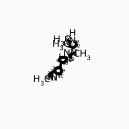 CN(c1nc2ccc(-c3ccc4nn(C)cc4c3)cc2s1)C1CCNC(C)(C)C1